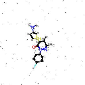 CC(=O)c1nn(-c2ccc(F)cc2)c(=O)c([SH]2C=CC(N(C)C)=C2)c1C